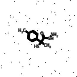 Cc1ccc(C(C)(S)C(=O)NN)cc1